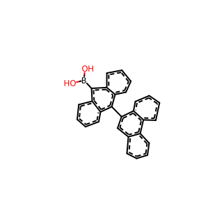 OB(O)c1c2ccccc2c(-c2cc3ccccc3c3ccccc23)c2ccccc12